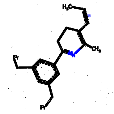 C/C=C\C1=C(C)N=C(c2cc(CC(C)C)cc(CC(C)C)c2)CC1